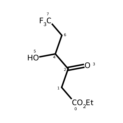 CCOC(=O)CC(=O)C(O)CC(F)(F)F